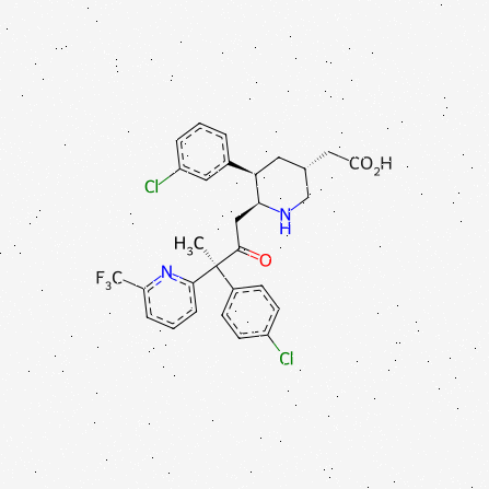 C[C@](C(=O)C[C@@H]1NC[C@@H](CC(=O)O)C[C@@H]1c1cccc(Cl)c1)(c1ccc(Cl)cc1)c1cccc(C(F)(F)F)n1